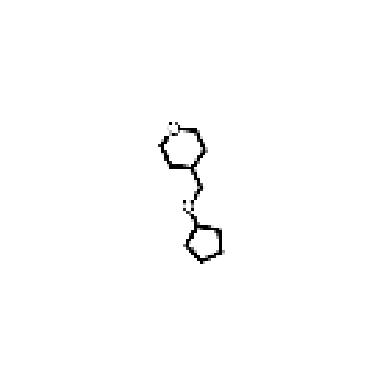 C1CCC(OCC2CCOCC2)C1